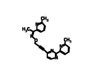 CC(=NOCC#Cc1ccnc(-c2cccc(C)n2)n1)c1cccc(C)n1